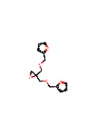 c1coc(COCC2(COCc3ccco3)CO2)c1